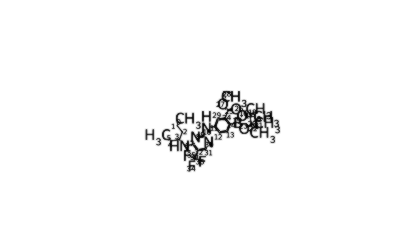 CCCC(CC)Nc1nc(Nc2ccc(B3OC(C)(C)C(C)(C)O3)c(C(=O)OC)c2)ncc1C(F)(F)F